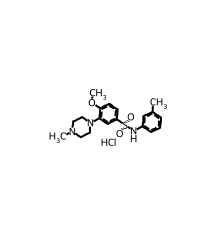 COc1ccc(S(=O)(=O)Nc2cccc(C)c2)cc1N1CCN(C)CC1.Cl